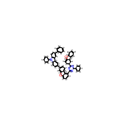 c1ccc(-c2ccc3c(c2)c2cc(-c4ccc5c(c4)oc4cccc(-c6nc(-c7ccccc7)nc(-c7ccc8oc9ccccc9c8c7)n6)c45)ccc2n3-c2ccccc2)cc1